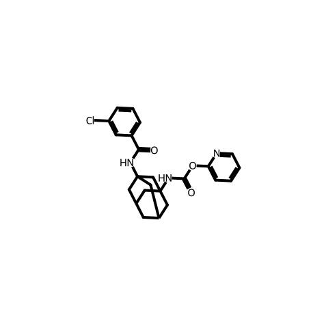 O=C(NC12CC3CC(C1)CC(NC(=O)c1cccc(Cl)c1)(C3)C2)Oc1ccccn1